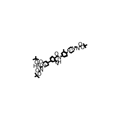 COc1cc(C2=CCN(C(=NC(=O)OC(C)(C)C)NC(=O)OC(C)(C)C)CC2)ccc1C(=O)Nc1ccc(N2CCN(C=NC(=O)OC(C)(C)C)CC2)c(C)c1